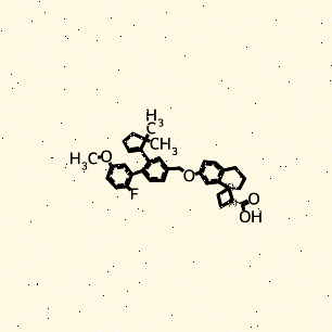 COc1ccc(F)c(-c2ccc(COc3ccc4c(c3)[C@@]3(CCC4)CC[C@H]3C(=O)O)cc2C2=CCCC2(C)C)c1